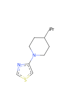 CC(C)C1CCN(c2cscn2)CC1